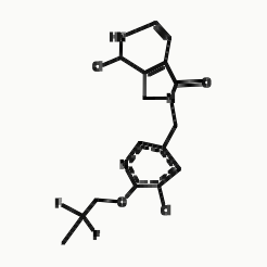 CC(F)(F)COc1ncc(CN2CC3=C(C=CNC3Cl)C2=O)cc1Cl